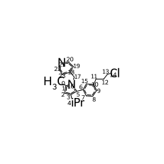 Cc1cc(C(C)C)c(-c2cccc(CCCCl)c2)n1Cc1ccncc1